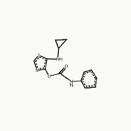 O=C(Nc1ccccc1)Oc1ncsc1NC1CC1